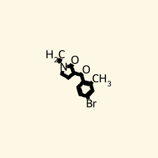 C=CN1CCC(C(=O)c2ccc(Br)cc2C)C1=O